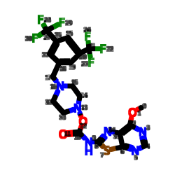 COc1ncnc2sc(NC(=O)ON3CCN(Cc4cc(C(F)(F)F)cc(C(F)(F)F)c4)CC3)nc12